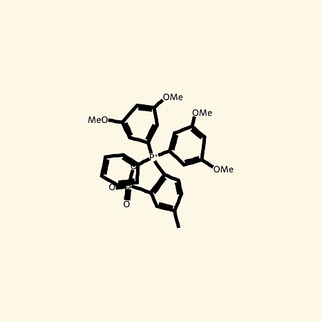 COc1cc(OC)cc([P+](c2ccccc2)(c2cc(OC)cc(OC)c2)c2ccc(C)cc2S(=O)(=O)[O-])c1